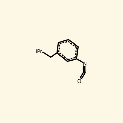 CC(C)Cc1cccc(N=C=O)c1